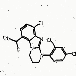 CCC(F)c1ccc(Cl)c2nc3n(c12)CCCN3c1ccc(Cl)cc1Cl